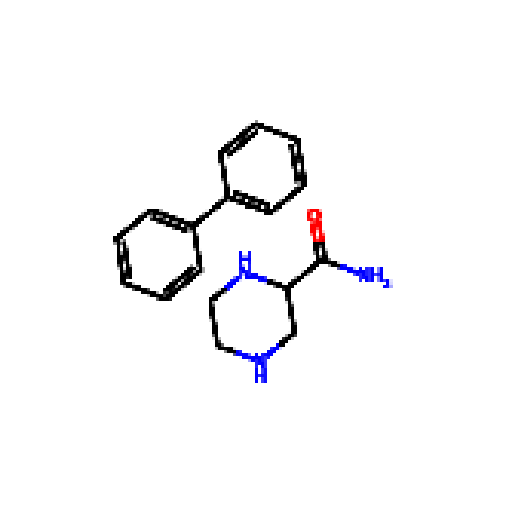 NC(=O)C1CNCCN1.c1ccc(-c2ccccc2)cc1